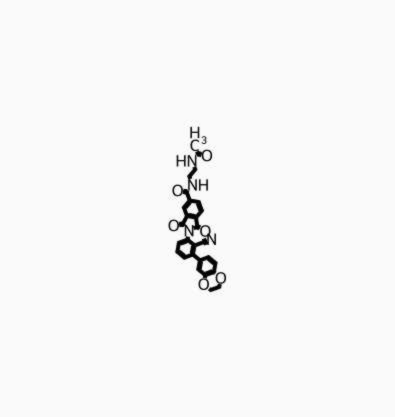 CC(=O)NCCNC(=O)c1ccc2c(c1)C(=O)N(c1cccc(-c3ccc4c(c3)OCCO4)c1C#N)C2=O